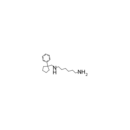 NCCCCCCNCC1(c2ccccc2)CCCC1